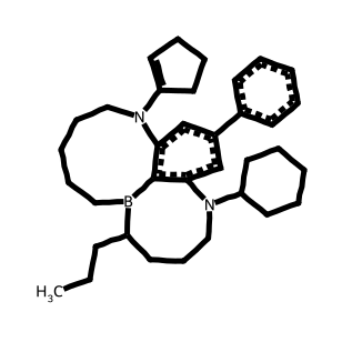 CCCC1CCCN(C2CCCCC2)c2cc(-c3ccccc3)cc3c2B1CCCCCN3C1=CCCC1